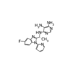 C[C@@H](Nc1ncnc(N)c1N)c1nc2cc(F)ccc2n1-c1ccccn1